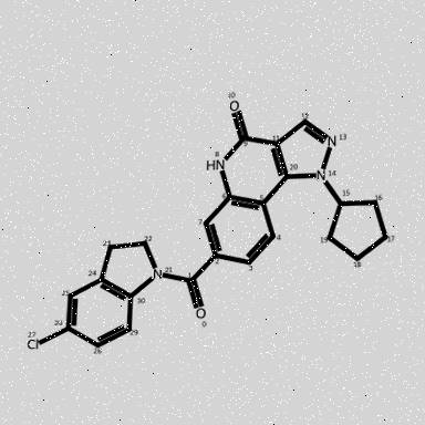 O=C(c1ccc2c(c1)[nH]c(=O)c1cnn(C3CCCC3)c12)N1CCc2cc(Cl)ccc21